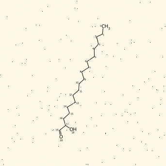 CCCCCCCCCCCCCCCCCC(O)[C]=O